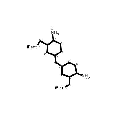 CCCC(C)CC1CC(CC2CCC(N)C(CC(C)CCC)C2)CCC1N